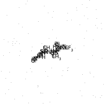 Cc1cc(CCc2cc(C)cc(NC(=S)N3CCN(Cc4ccc(C(F)(F)F)cc4)C(c4ccccc4)C3)n2)nc(NC(=S)N2CCN(CCN3CCOCC3)CC2)c1